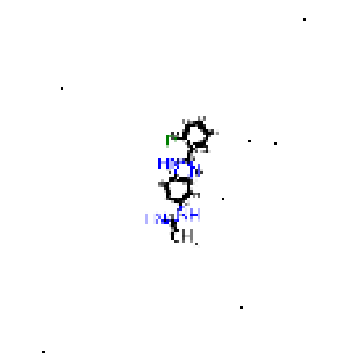 CC(=N)Nc1ccc2[nH]c(-c3ccccc3F)nc2c1